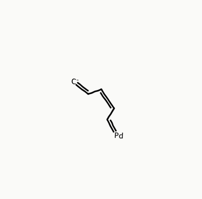 [CH-]=C/C=C\[CH]=[Pd]